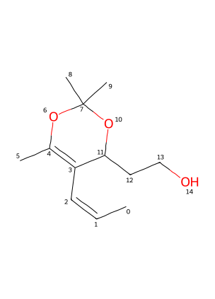 C/C=C\C1=C(C)OC(C)(C)OC1CCO